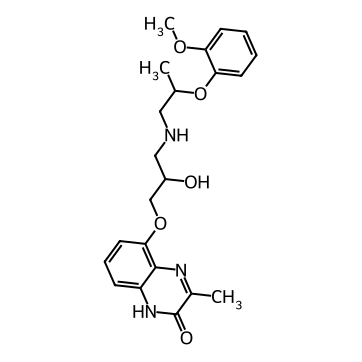 COc1ccccc1OC(C)CNCC(O)COc1cccc2[nH]c(=O)c(C)nc12